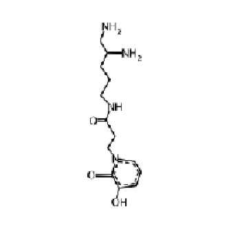 NCC(N)CCCNC(=O)CCn1cccc(O)c1=O